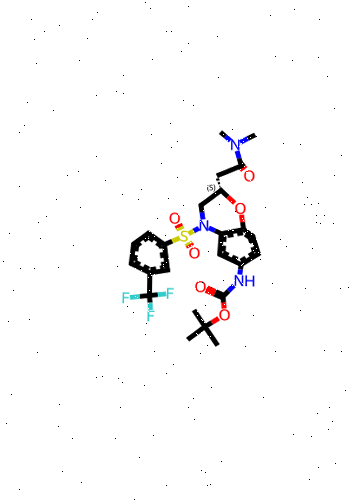 CN(C)C(=O)C[C@H]1CN(S(=O)(=O)c2cccc(C(F)(F)F)c2)c2cc(NC(=O)OC(C)(C)C)ccc2O1